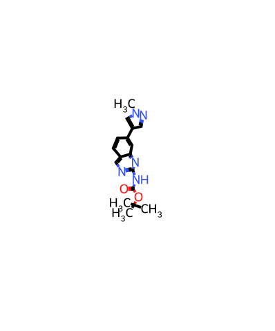 Cn1cc(-c2ccc3cnc(NC(=O)OC(C)(C)C)nc3c2)cn1